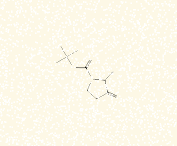 CC(C)(C)OC(=O)N1CCC(=O)C1I